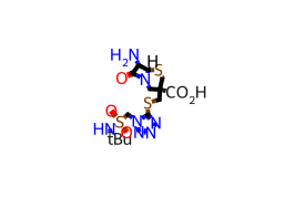 CC(C)(C)NS(=O)(=O)Cn1nnnc1SCC1(C(=O)O)CS[C@@H]2C(N)C(=O)N2C1